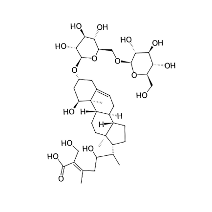 CC(CC(O)C(C)[C@H]1CC[C@H]2[C@@H]3CC=C4C[C@@H](O[C@@H]5O[C@H](CO[C@@H]6O[C@H](CO)[C@@H](O)[C@H](O)[C@H]6O)[C@@H](O)[C@H](O)[C@H]5O)C[C@H](O)[C@]4(C)[C@H]3CC[C@]12C)=C(CO)C(=O)O